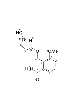 COc1cccc(C(N)=O)c1COc1ccn(O)n1